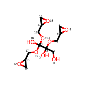 OCC(O)(OCC1CO1)C(O)(OCC1CO1)OCC1CO1